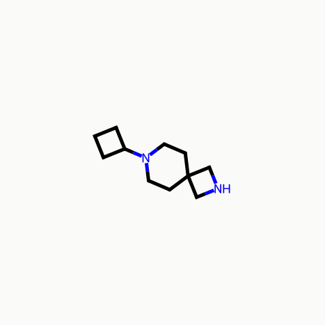 C1CC(N2CCC3(CC2)CNC3)C1